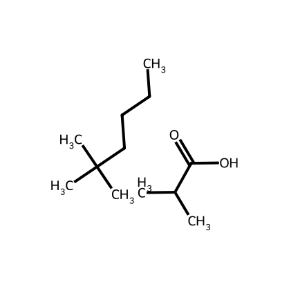 CC(C)C(=O)O.CCCCC(C)(C)C